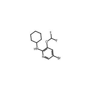 FC(F)Oc1cc(Br)cnc1NC1CCCCC1